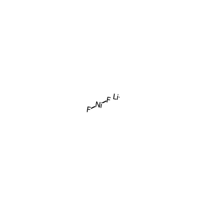 [F][Ni][F].[Li]